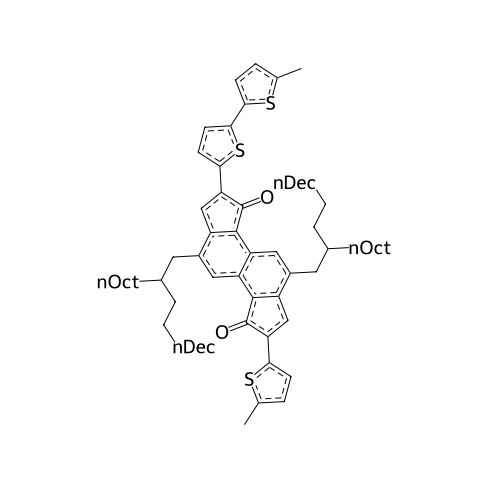 CCCCCCCCCCCCC(CCCCCCCC)Cc1cc2c(cc(CC(CCCCCCCC)CCCCCCCCCCCC)c3cc(-c4ccc(-c5ccc(C)s5)s4)c(=O)c32)c2c(=O)c(-c3ccc(C)s3)cc12